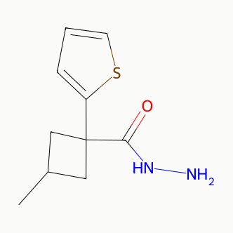 CC1CC(C(=O)NN)(c2cccs2)C1